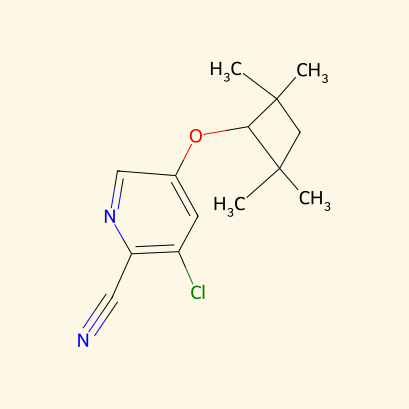 CC1(C)CC(C)(C)C1Oc1cnc(C#N)c(Cl)c1